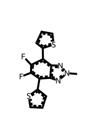 Cn1nc2c(-c3cccs3)c(F)c(F)c(-c3cccs3)c2n1